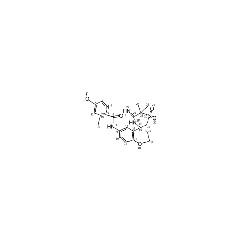 COc1cnc(C(=O)Nc2ccc3c(c2)[C@]2(CCO3)CS(=O)(=O)C(C)(C)C(=N)N2)c(C)c1